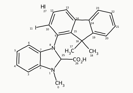 CN1c2ccccc2N(c2c(I)ccc3c2C(C)(C)c2ccccc2-3)C1C(=O)O.I